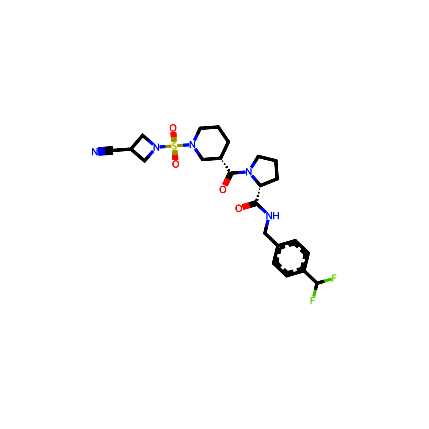 N#CC1CN(S(=O)(=O)N2CCC[C@H](C(=O)N3CCC[C@@H]3C(=O)NCc3ccc(C(F)F)cc3)C2)C1